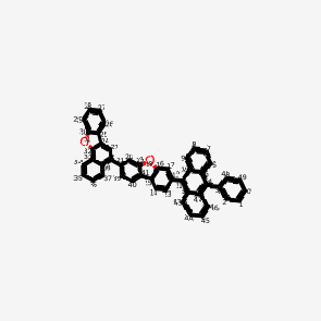 c1ccc(-c2c3ccccc3c(-c3ccc4c(c3)oc3cc(-c5cc6c7ccccc7oc6c6ccccc56)ccc34)c3ccccc23)cc1